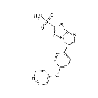 NS(=O)(=O)c1nn2c(-c3ccc(Oc4ccncc4)cc3)cnc2s1